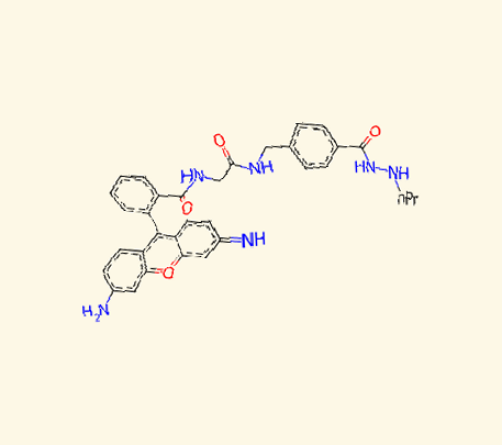 CCCNNC(=O)c1ccc(CNC(=O)CNC(=O)c2ccccc2-c2c3ccc(=N)cc-3oc3cc(N)ccc23)cc1